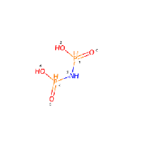 O=[PH](O)N[PH](=O)O